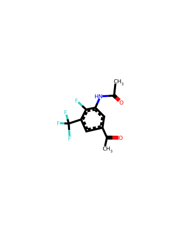 CC(=O)Nc1cc(C(C)=O)cc(C(F)(F)F)c1F